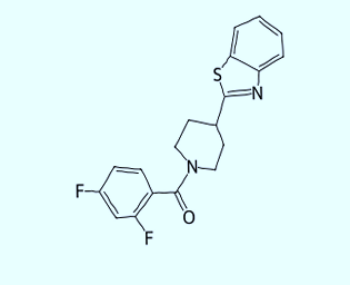 O=C(c1ccc(F)cc1F)N1CCC(c2nc3ccccc3s2)CC1